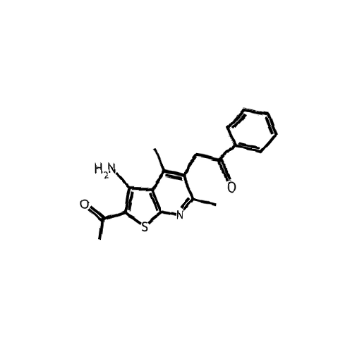 CC(=O)c1sc2nc(C)c(CC(=O)c3ccccc3)c(C)c2c1N